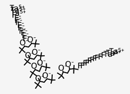 CC(C)(C)C([O-])CC([O-])C(C)(C)C.CC(C)(C)C([O-])CC([O-])C(C)(C)C.CC(C)(C)C([O-])CC([O-])C(C)(C)C.CC(C)(C)C([O-])CC([O-])C(C)(C)C.CC(C)(C)C([O-])CC([O-])C(C)(C)C.[F-].[F-].[F-].[F-].[F-].[F-].[F-].[F-].[F-].[F-].[F-].[F-].[F-].[F-].[F-].[F-].[F-].[F-].[F-].[F-].[Ta+5].[Ta+5].[Ta+5].[Ta+5].[Ta+5].[Ta+5]